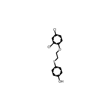 Oc1ccc(SCCOc2ccc(Cl)cc2Cl)cc1